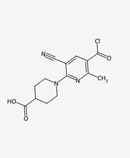 Cc1nc(N2CCC(C(=O)O)CC2)c(C#N)cc1C(=O)Cl